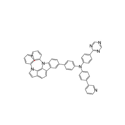 c1ccc(-n2ccc3ccc4c5cc(-c6ccc(N(c7ccc(-c8cccnc8)cc7)c7ccc(-c8ncncn8)cc7)cc6)ccc5n(-c5ccccc5)c4c32)cc1